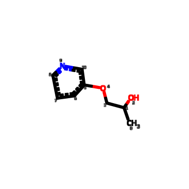 CC(O)COc1cccnc1